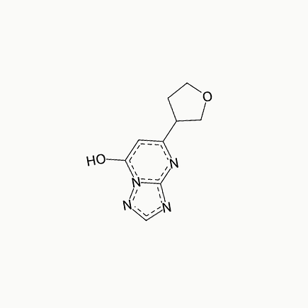 Oc1cc(C2CCOC2)nc2ncnn12